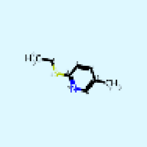 CCSc1ccc(C)cn1